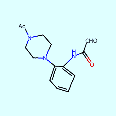 CC(=O)N1CCN(c2ccccc2NC(=O)C=O)CC1